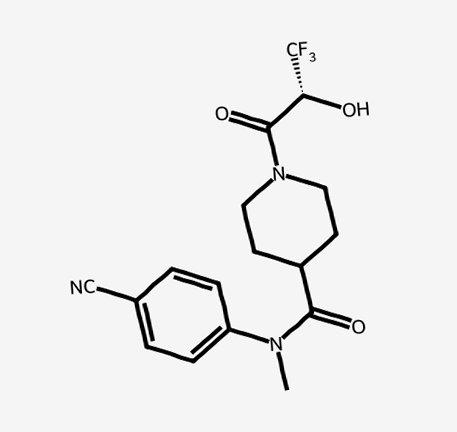 CN(C(=O)C1CCN(C(=O)[C@@H](O)C(F)(F)F)CC1)c1ccc(C#N)cc1